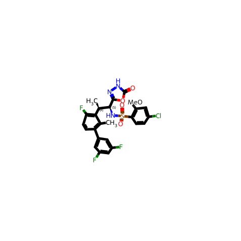 COc1cc(Cl)ccc1S(=O)(=O)N[C@H](c1n[nH]c(=O)o1)[C@H](C)c1c(F)ccc(-c2cc(F)cc(F)c2)c1C